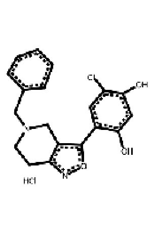 Cl.Oc1cc(O)c(-c2onc3c2CN(Cc2ccccc2)CC3)cc1Cl